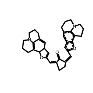 O=C1/C(=C\C2=CC3C=C4CCCN5CCCC(=C45)C3O2)CC/C1=C/c1cc2cc3c4c(c2o1)CCCN4CCC3